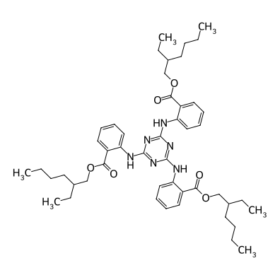 CCCCC(CC)COC(=O)c1ccccc1Nc1nc(Nc2ccccc2C(=O)OCC(CC)CCCC)nc(Nc2ccccc2C(=O)OCC(CC)CCCC)n1